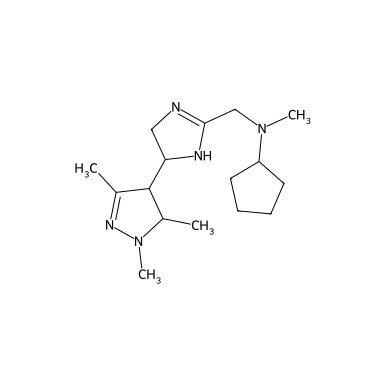 CC1=NN(C)C(C)C1C1CN=C(CN(C)C2CCCC2)N1